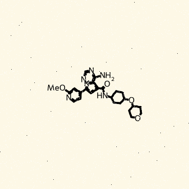 COc1cc(-c2cc(C(=O)NC3CCC(OC4CCOCC4)CC3)c3c(N)ncnn23)ccn1